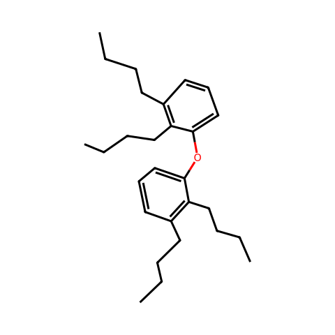 CCCCc1cccc(Oc2cccc(CCCC)c2CCCC)c1CCCC